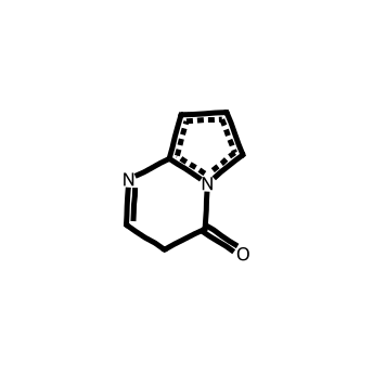 O=C1CC=Nc2cccn21